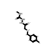 CNC(=S)NNC(=O)COCc1ccc(C)cc1